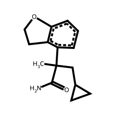 CC(CC1CC1)(C(N)=O)c1cccc2c1CCO2